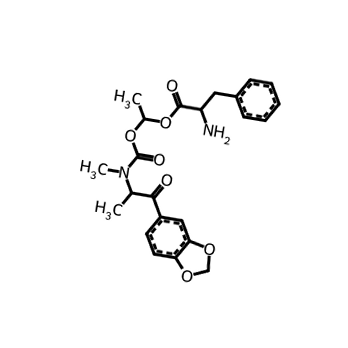 CC(OC(=O)C(N)Cc1ccccc1)OC(=O)N(C)C(C)C(=O)c1ccc2c(c1)OCO2